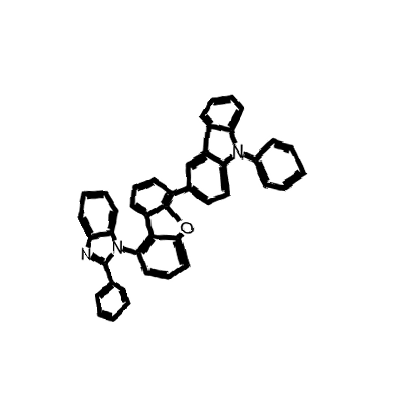 c1ccc(-c2nc3ccccc3n2-c2cccc3oc4c(-c5ccc6c(c5)c5ccccc5n6-c5ccccc5)cccc4c23)cc1